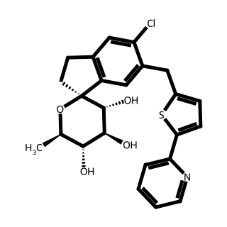 C[C@H]1O[C@]2(CCc3cc(Cl)c(Cc4ccc(-c5ccccn5)s4)cc32)[C@H](O)[C@@H](O)[C@@H]1O